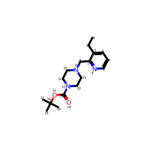 CCc1cccnc1CN1CCN(C(=O)OC(C)(C)C)CC1